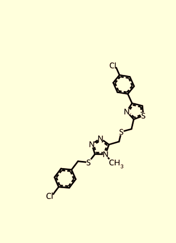 Cn1c(CSCc2nc(-c3ccc(Cl)cc3)cs2)nnc1SCc1ccc(Cl)cc1